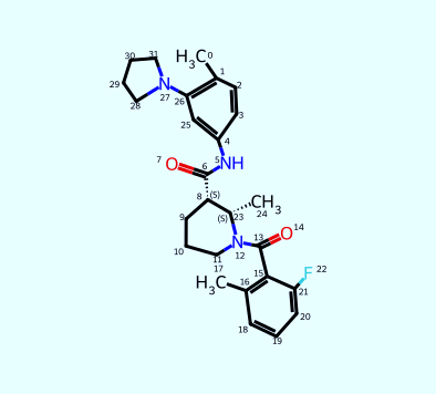 Cc1ccc(NC(=O)[C@H]2CCCN(C(=O)c3c(C)cccc3F)[C@H]2C)cc1N1CCCC1